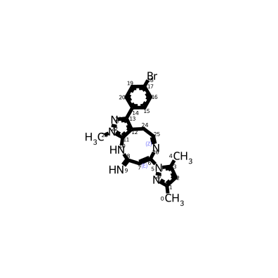 Cc1cc(C)n(C2=C/C(=N)Nc3c(c(-c4ccc(Br)cc4)nn3C)C/C=N\2)n1